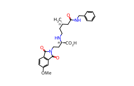 COc1ccc2c(c1)C(=O)N(CC[C@@H](NCC[C@H](C)CC(=O)NCc1ccccc1)C(=O)O)C2=O